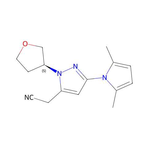 Cc1ccc(C)n1-c1cc(CC#N)n([C@H]2CCOC2)n1